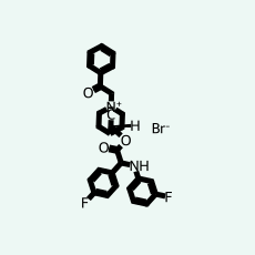 O=C(C[N+]12CCC(CC1)[C@@H](OC(=O)C(Nc1cccc(F)c1)c1ccc(F)cc1)C2)c1ccccc1.[Br-]